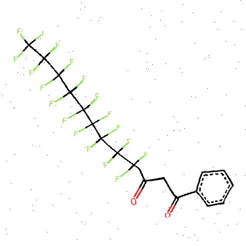 O=C(CC(=O)C(F)(F)C(F)(F)C(F)(F)C(F)(F)C(F)(F)C(F)(F)C(F)(F)C(F)(F)C(F)(F)F)c1ccccc1